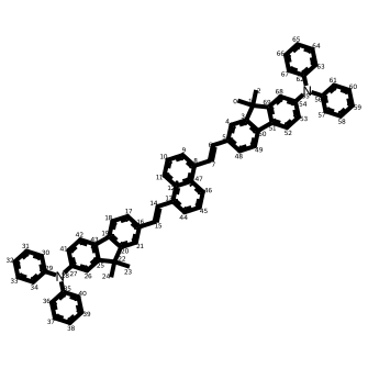 CC1(C)c2cc(/C=C/c3cccc4c(/C=C/c5ccc6c(c5)C(C)(C)c5cc(N(c7ccccc7)c7ccccc7)ccc5-6)cccc34)ccc2-c2ccc(N(c3ccccc3)c3ccccc3)cc21